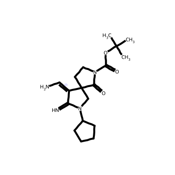 CC(C)(C)OC(=O)N1CCC2(CN(C3CCCC3)C(=N)/C2=C\N)C1=O